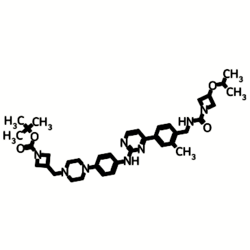 Cc1cc(-c2ccnc(Nc3ccc(N4CCN(CC5CN(C(=O)OC(C)(C)C)C5)CC4)cc3)n2)ccc1CNC(=O)N1CC(OC(C)C)C1